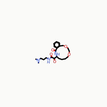 CN(C)CCCNC(=O)C(=O)C1CCCCOCCOCc2ccccc2C(=O)N1